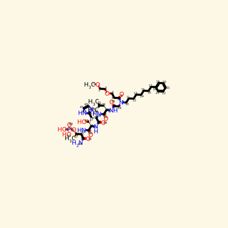 COCCOCCC(=O)N(CCCCCCCCc1ccccc1)CC(=O)N[C@@H](CC(C)C)C(=O)N[C@@H](Cc1ncc[nH]1)C(=O)N[C@@H](CO)C(=O)N[C@H](C(N)=O)[C@@H](C)OP(=O)(O)O